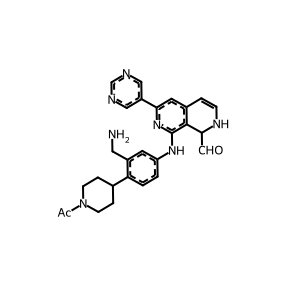 CC(=O)N1CCC(c2ccc(Nc3nc(-c4cncnc4)cc4c3C(C=O)NC=C4)cc2CN)CC1